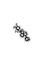 O=C(Nc1ccc(F)c(F)c1)c1cccc2c1OCCC2c1cccnc1